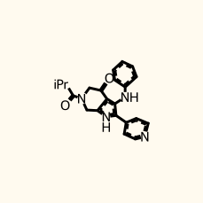 CC(C)C(=O)N1CC(=O)c2c([nH]c(-c3ccncc3)c2Nc2ccccc2)C1